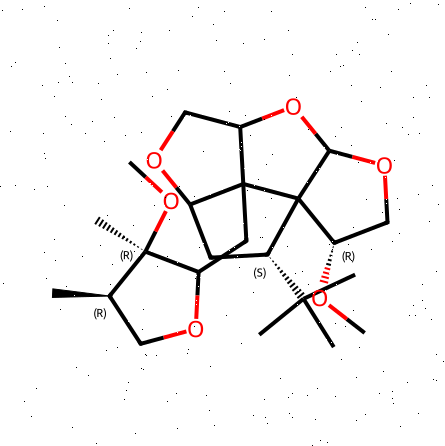 CO[C@H]1COC2OC3COC4C[C@@H](C(C)(C)C)C21C43CC1OC[C@@H](C)[C@@]1(C)OC